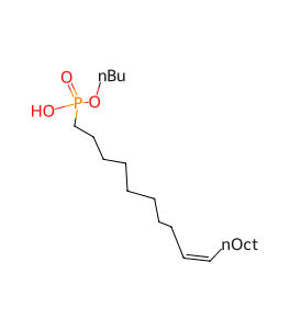 CCCCCCCC/C=C\CCCCCCCCP(=O)(O)OCCCC